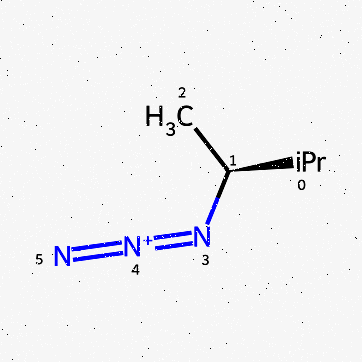 CC(C)[C@H](C)N=[N+]=[N-]